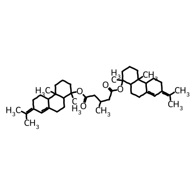 CC(C)=C1C=C2CCC3C(C)(OC(=O)CC(C)CC(=O)OC4(C)CCCC5(C)C6CCC(=C(C)C)C=C6CCC45)CCCC3(C)C2CC1